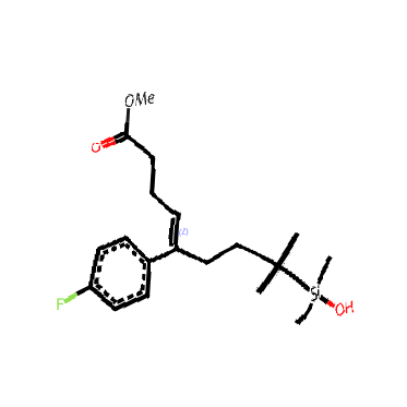 COC(=O)CC/C=C(/CCC(C)(C)[Si](C)(C)O)c1ccc(F)cc1